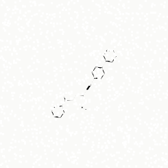 O=C(CCC(C#Cc1ccc(-c2ccccc2)cc1)CC(F)(F)F)c1ccccc1